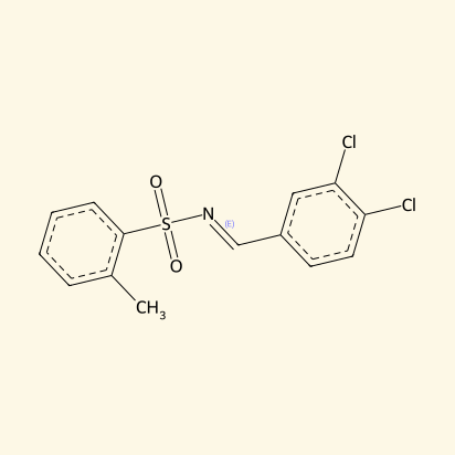 Cc1ccccc1S(=O)(=O)/N=C/c1ccc(Cl)c(Cl)c1